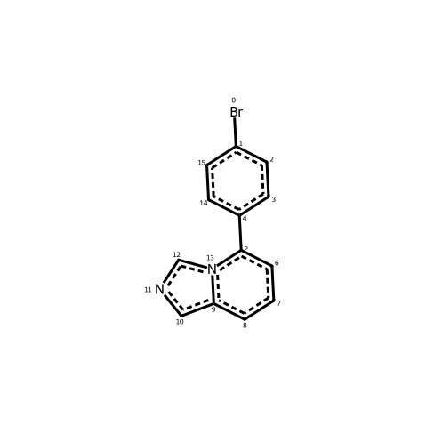 Brc1ccc(-c2cccc3cncn23)cc1